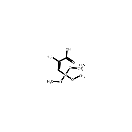 CO[Si](C=C(C)C(=O)O)(OC)OC.S